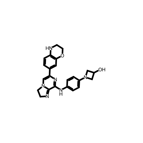 OC1CN(c2ccc(NC3=NC(c4ccc5c(c4)OCCN5)=CN4CCN=C34)cc2)C1